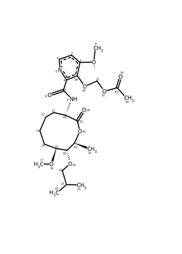 COc1ccnc(C(=O)N[C@H]2CCCC[C@H](OC)[C@@H](OCC(C)C)[C@H](C)OC2=O)c1OCOC(C)=O